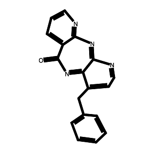 O=c1nc2c(Cc3ccccc3)ccnc2nc2ncccc12